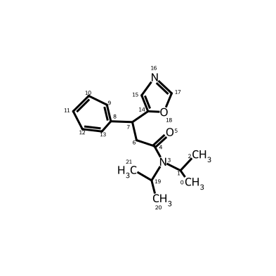 CC(C)N(C(=O)CC(c1ccccc1)c1cnco1)C(C)C